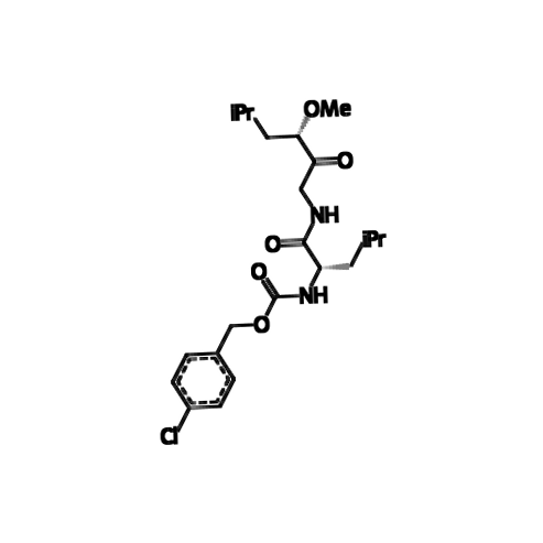 CO[C@@H](CC(C)C)C(=O)CNC(=O)[C@H](CC(C)C)NC(=O)OCc1ccc(Cl)cc1